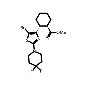 COC(=O)[C@@H]1CCCC[C@H]1c1nc(N2CCC(F)(F)CC2)sc1Br